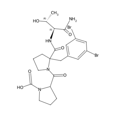 C[C@@H](O)[C@H](NC(=O)C1(Cc2cc(Br)cc(Br)c2)CCCN1C(=O)C1CCCN1C(=O)O)C(N)=O